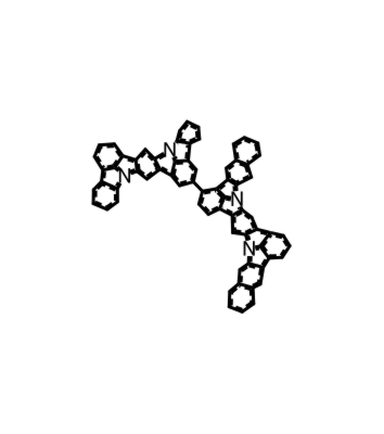 c1ccc2cc3c(cc2c1)c1cccc2c4cc5c(cc4n3c12)c1ccc(-c2cc3c4ccccc4n4c6cc7c8cccc9c%10ccccc%10n(c7cc6c(c2)c34)c98)c2c3cc4ccccc4cc3n5c12